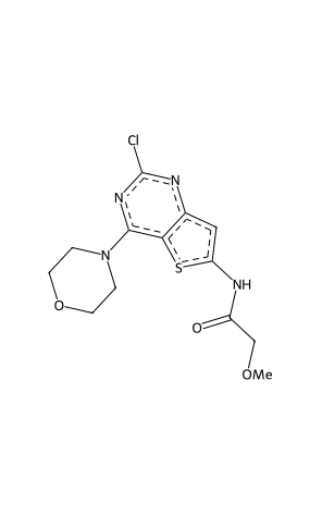 COCC(=O)Nc1cc2nc(Cl)nc(N3CCOCC3)c2s1